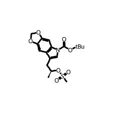 C[C@@H](Cc1cn(C(=O)OC(C)(C)C)c2cc3c(cc12)OCO3)OS(C)(=O)=O